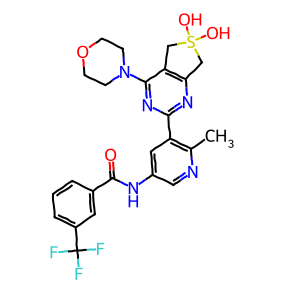 Cc1ncc(NC(=O)c2cccc(C(F)(F)F)c2)cc1-c1nc2c(c(N3CCOCC3)n1)CS(O)(O)C2